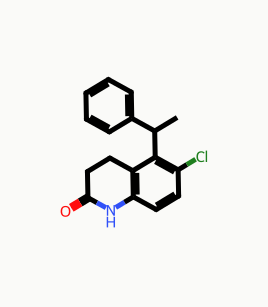 CC(c1ccccc1)c1c(Cl)ccc2c1CCC(=O)N2